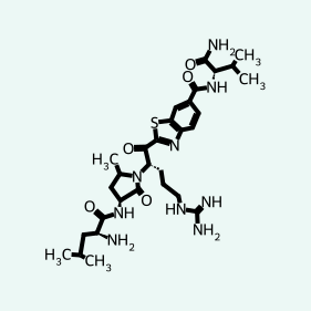 CC(C)C[C@H](N)C(=O)N[C@H]1CC(C)N([C@@H](CCCNC(=N)N)C(=O)c2nc3ccc(C(=O)N[C@H](C(N)=O)C(C)C)cc3s2)C1=O